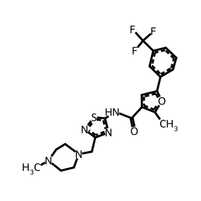 Cc1oc(-c2cccc(C(F)(F)F)c2)cc1C(=O)Nc1nc(CN2CCN(C)CC2)ns1